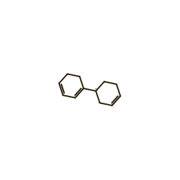 C1=CCCC([C]2CC=CCC2)=C1